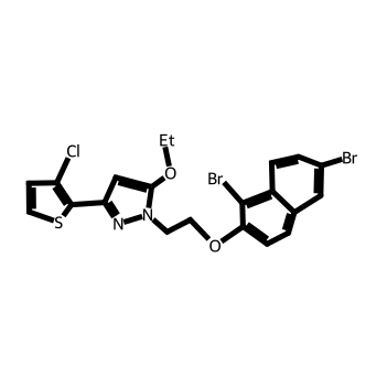 CCOc1cc(-c2sccc2Cl)nn1CCOc1ccc2cc(Br)ccc2c1Br